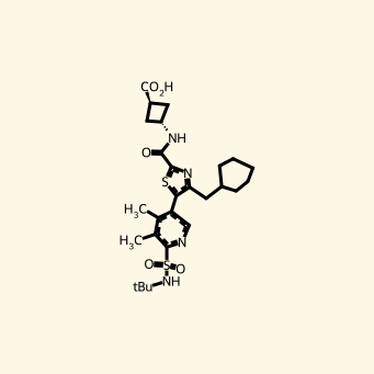 Cc1c(-c2sc(C(=O)N[C@H]3C[C@H](C(=O)O)C3)nc2CC2CCCCC2)cnc(S(=O)(=O)NC(C)(C)C)c1C